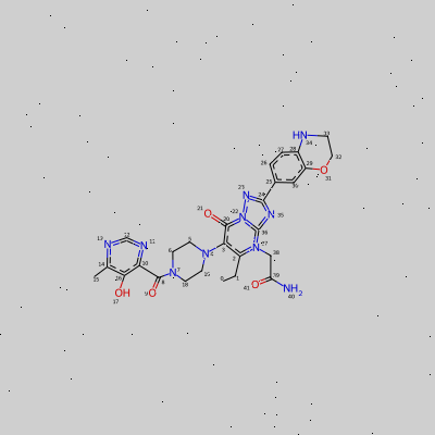 CCc1c(N2CCN(C(=O)c3ncnc(C)c3O)CC2)c(=O)n2nc(-c3ccc4c(c3)OCCN4)nc2n1CC(N)=O